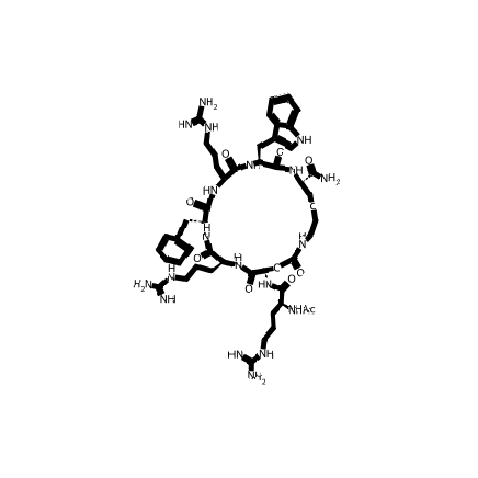 CC(=O)N[C@@H](CCCNC(=N)N)C(=O)N[C@H]1CC(=O)NCCCC[C@@H](C(N)=O)NC(=O)[C@H](Cc2c[nH]c3ccccc23)NC(=O)C(CCCNC(=N)N)NC(=O)[C@@H](Cc2ccccc2)NC(=O)[C@H](CCCNC(=N)N)NC1=O